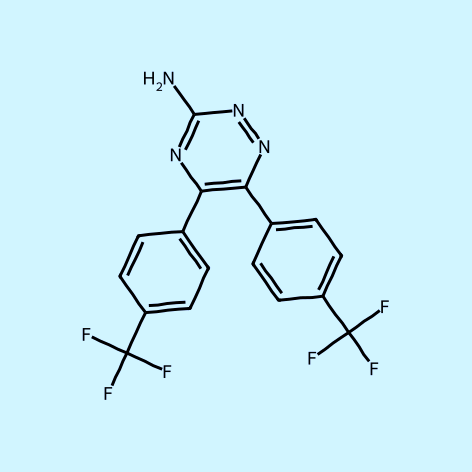 Nc1nnc(-c2ccc(C(F)(F)F)cc2)c(-c2ccc(C(F)(F)F)cc2)n1